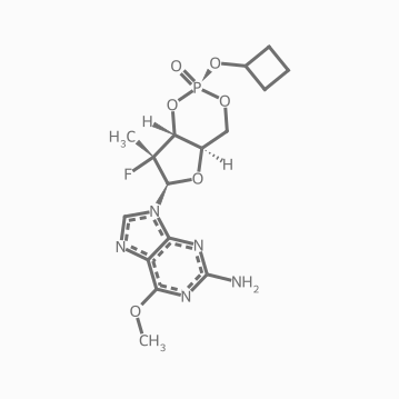 COc1nc(N)nc2c1ncn2[C@@H]1O[C@@H]2CO[P@](=O)(OC3CCC3)O[C@H]2[C@@]1(C)F